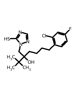 CC(C)(C)C(O)(CCCCc1ccc(F)cc1Cl)Cn1ncnc1S